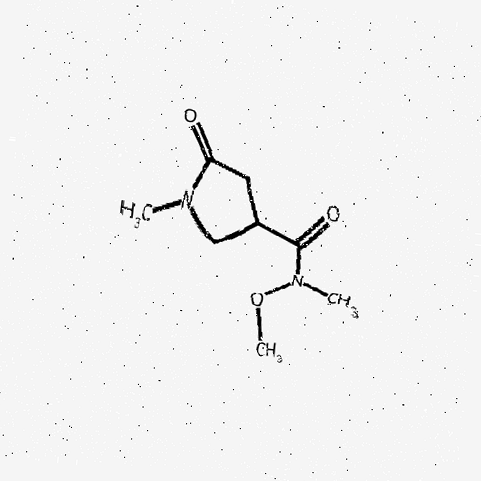 CON(C)C(=O)C1CC(=O)N(C)C1